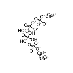 O=P(O)(O)O.O=P([O-])([O-])[O-].O=P([O-])([O-])[O-].O=P([O-])([O-])[O-].[Ca+2].[Ca+2].[Ca+2].[Ca+2].[Ca+2].[OH-]